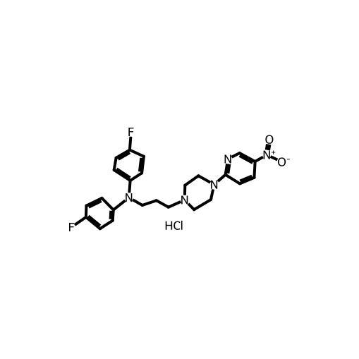 Cl.O=[N+]([O-])c1ccc(N2CCN(CCCN(c3ccc(F)cc3)c3ccc(F)cc3)CC2)nc1